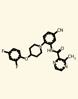 Cc1nccnc1C(=O)Nc1cc(C#N)ccc1N1CCC(Oc2ccc(F)cc2F)CC1